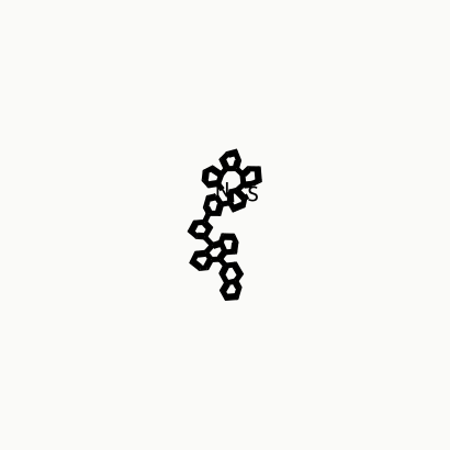 c1cc(-c2ccc3c(c2)c2ccc4sc5cccc6c7ccccc7c7ccccc7n3c2c4c56)cc(-c2c3ccccc3c(-c3ccc4ccccc4c3)c3ccccc23)c1